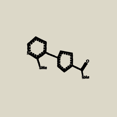 CNC(=O)c1ccc(-c2cccnc2SC)cc1